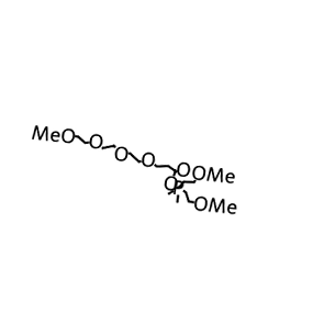 COCCOCCOCCOCCC(=O)OP(C)(C)(CCOC)CCOC